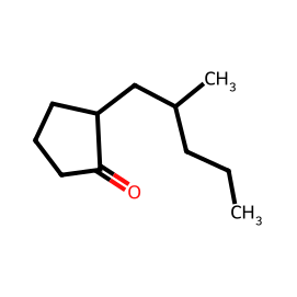 CCCC(C)CC1CCCC1=O